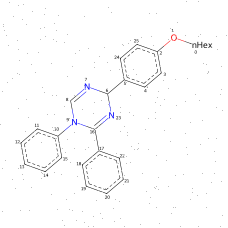 CCCCCCOc1c[c]c(C2N=CN(c3ccccc3)C(c3ccccc3)=N2)cc1